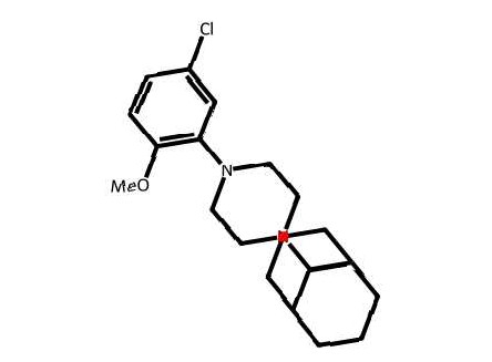 COc1ccc(Cl)cc1N1CCN(C2C3CCCC2CCC3)CC1